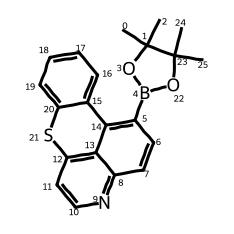 CC1(C)OB(c2ccc3nccc4c3c2-c2ccccc2S4)OC1(C)C